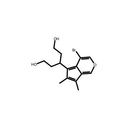 Cc1c2cocc(Br)c-2c(C(CCO)CCO)c1C